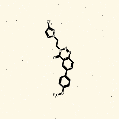 O=c1c2cc(-c3ccc(OC(F)(F)F)cc3)ccc2nnn1CCn1ccc(C(F)(F)F)n1